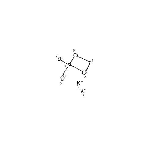 [K+].[K+].[O-][Si]1([O-])OCO1